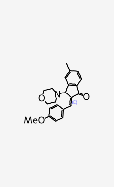 COc1ccc(/C=C2/C(=O)c3ccc(C)cc3C2N2CCOCC2)cc1